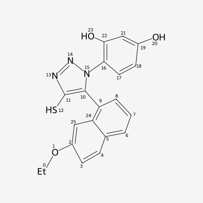 CCOc1ccc2cccc(-c3c(S)nnn3-c3ccc(O)cc3O)c2c1